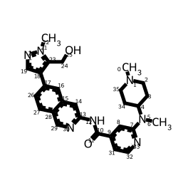 CN1CCC(N(C)c2cc(C(=O)Nc3cc4cc(-c5cnn(C)c5CO)ccc4cn3)ccn2)CC1